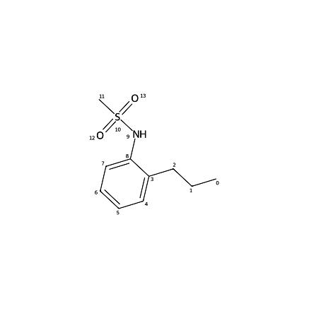 CCCc1ccccc1NS(C)(=O)=O